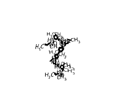 CCCCN(C)C(=O)NCC1(C)CC(NC(=O)OC(COc2ccc(C(C)(C)c3ccc(OCC(CN4CC4C)OC(=O)NCC4(C)CC(NC(=O)N(C)CCCC)CC(C)(C)C4)cc3)cc2)CN2CC2C)CC(C)(C)C1